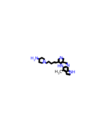 Cc1c(Nc2c(C#N)cncc2/C=C/CCCN2CCC(N)CC2)ccc2[nH]ccc12